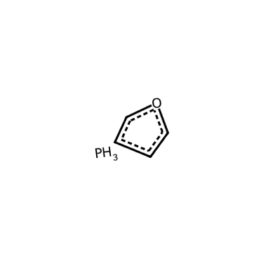 P.c1ccoc1